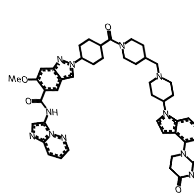 COc1cc2nn(C3CCC(C(=O)N4CCC(CN5CCC(n6ccc7c(N8CCC(=O)NC8=O)cccc76)CC5)CC4)CC3)cc2cc1C(=O)Nc1cnc2cccnn12